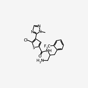 Cn1ncnc1-c1cc(C(=O)NC(CN)Cc2ccccc2C(F)(F)F)sc1Cl